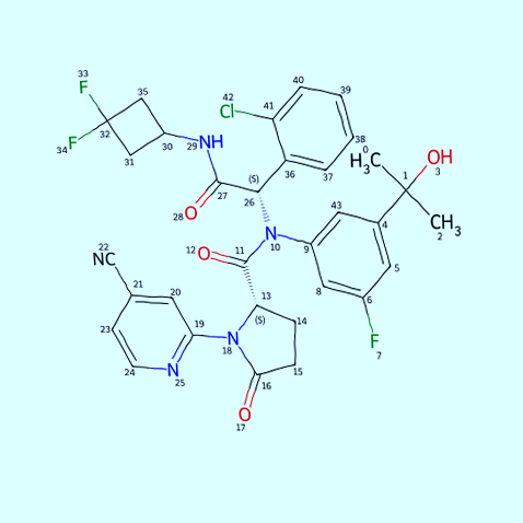 CC(C)(O)c1cc(F)cc(N(C(=O)[C@@H]2CCC(=O)N2c2cc(C#N)ccn2)[C@H](C(=O)NC2CC(F)(F)C2)c2ccccc2Cl)c1